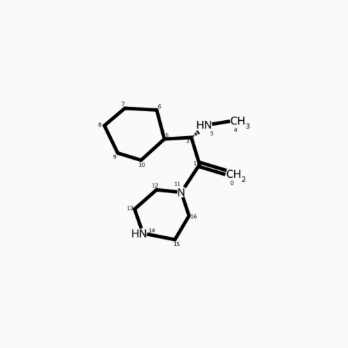 C=C([C@@H](NC)C1CCCCC1)N1CCNCC1